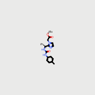 Cc1ccc(NC(=O)N[C@H](c2nccn2CC(=O)OC(C)(C)C)C(C)C)cc1